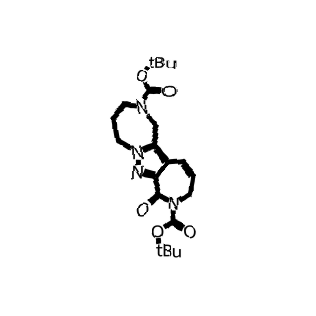 CC(C)(C)OC(=O)N1CCCn2nc3c(c2C1)C=CCN(C(=O)OC(C)(C)C)C3=O